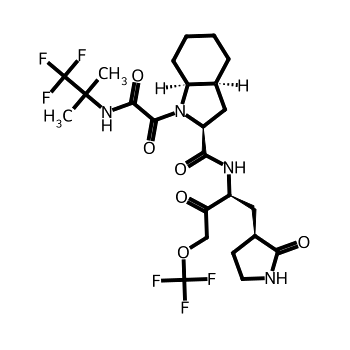 CC(C)(NC(=O)C(=O)N1[C@H](C(=O)N[C@@H](C[C@@H]2CCNC2=O)C(=O)COC(F)(F)F)C[C@@H]2CCCC[C@@H]21)C(F)(F)F